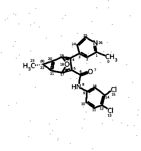 Cc1cc(-c2c(C(=O)Nc3ccc(Cl)c(Cl)c3)c3oc2c2c3[C@@H]2C)ccn1